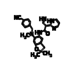 CN(Cc1ccc(C#N)cc1)c1cc2c(cc1NC(=O)/C(C=N)=C1\N=CC=CN1)CC(C)(C)O2